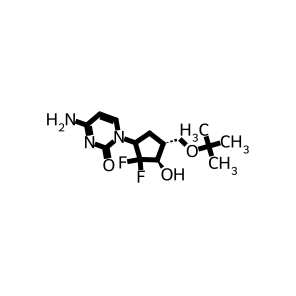 CC(C)(C)OC[C@H]1CC(n2ccc(N)nc2=O)C(F)(F)[C@@H]1O